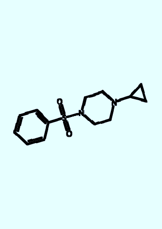 O=S(=O)(c1ccccc1)N1CCN(C2CC2)CC1